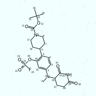 CN(c1ccc(C2CCN(C(=O)OC(C)(C)C)CC2)c(OS(=O)(=O)F)c1)C1CCC(=O)NC1=O